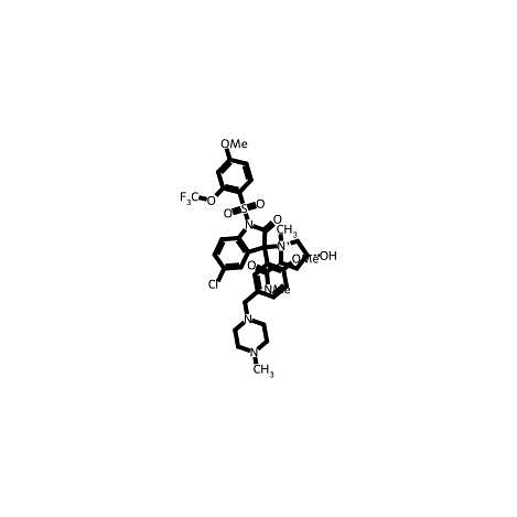 CNC(=O)[C@@H]1C[C@@H](O)C[N+]1(C)C1(c2cc(CN3CCN(C)CC3)ccc2OC)C(=O)N(S(=O)(=O)c2ccc(OC)cc2OC(F)(F)F)c2ccc(Cl)cc21